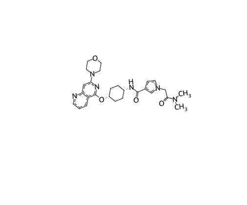 CN(C)C(=O)Cn1ccc(C(=O)N[C@H]2CC[C@@H](Oc3nc(N4CCOCC4)cc4ncccc34)CC2)c1